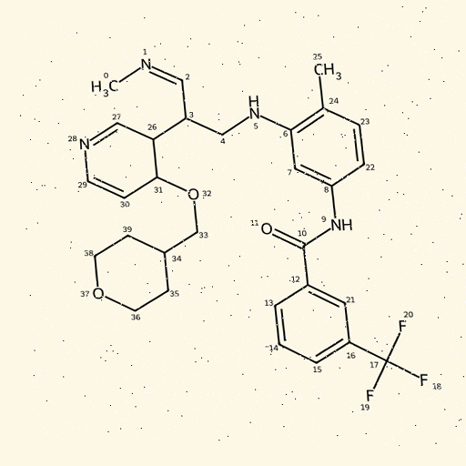 C/N=C\C(CNc1cc(NC(=O)c2cccc(C(F)(F)F)c2)ccc1C)C1C=NC=CC1OCC1CCOCC1